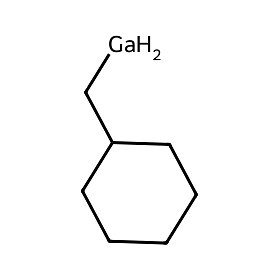 [GaH2][CH2]C1CCCCC1